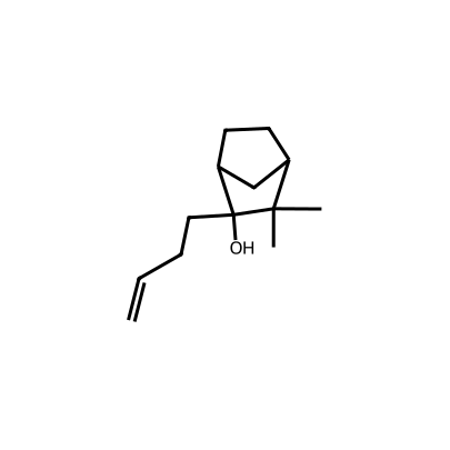 C=CCCC1(O)C2CCC(C2)C1(C)C